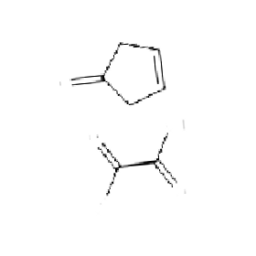 CC(=O)C(C)=O.O=C1CC=CC1